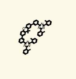 Cc1ccccc1-c1nc(-c2cccc(-c3ccc4c(c3)C(C)(C)c3cc(-c5cccc(-c6nc(-c7ccccc7C)nc(-c7ccccc7C)n6)c5)ccc3O4)c2)nc(-c2ccccc2C)n1